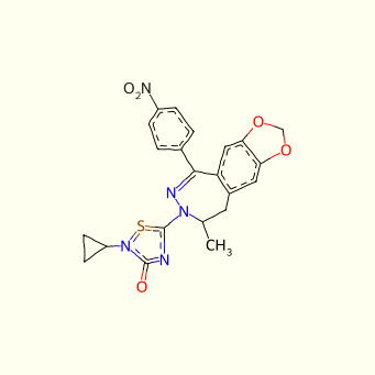 CC1Cc2cc3c(cc2C(c2ccc([N+](=O)[O-])cc2)=NN1c1nc(=O)n(C2CC2)s1)OCO3